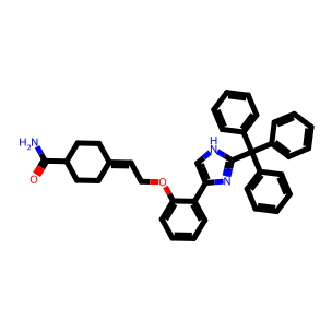 NC(=O)C1CCC(=CCOc2ccccc2-c2c[nH]c(C(c3ccccc3)(c3ccccc3)c3ccccc3)n2)CC1